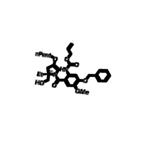 C=CCOC(=O)Nc1cc(OCc2ccccc2)c(OC)cc1C(=O)N1C=C(OCCCCC)C[C@@]1(CC)CO